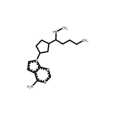 CCCCC(NC)C1CCC(n2ccc3c(N)ncnc32)C1